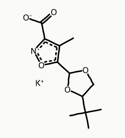 Cc1c(C(=O)[O-])noc1C1OCC(C(C)(C)C)O1.[K+]